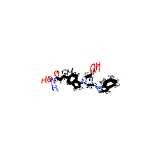 CC(=CC(=O)NO)c1ccc2c(c1)CCC2N(CCO)CCn1ccc2ccccc21